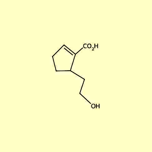 O=C(O)C1=CCCC1CCO